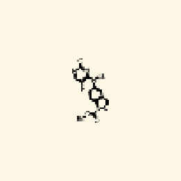 CCN(c1ccc2c(cnn2C(=O)OC(C)(C)C)c1)c1nc(Cl)ncc1F